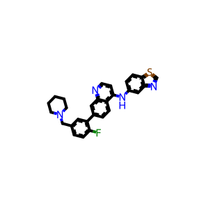 Fc1ccc(CN2CCCCC2)cc1-c1ccc2c(Nc3ccc4scnc4c3)ccnc2c1